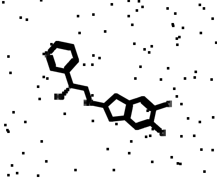 O[C@@H](CNC1Cc2cc(Cl)c(Cl)cc2C1)c1cccnc1